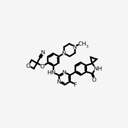 CN1CCN(c2ccc(OC3(C#N)COC3)c(Nc3ncc(F)c(-c4ccc5c(c4)C(=O)NC54CC4)n3)c2)CC1